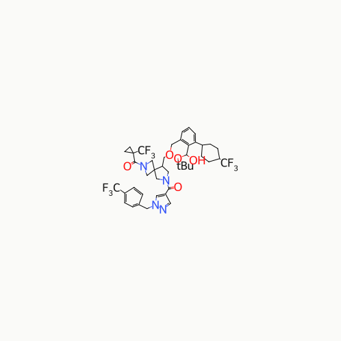 CC(C)(C)OC(O)c1c(COCC2CN(C(=O)c3cnn(Cc4ccc(C(F)(F)F)cc4)c3)CC23CN(C(=O)C2(C(F)(F)F)CC2)C3)cccc1C1CCC(C(F)(F)F)CC1